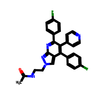 CC(=O)NCCn1cc2c(-c3ccc(F)cc3)c(-c3ccncc3)c(-c3ccc(F)cc3)nc2n1